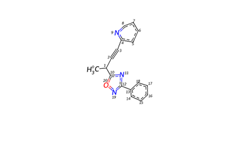 CC(C#Cc1ccccn1)c1nc(-c2ccccc2)no1